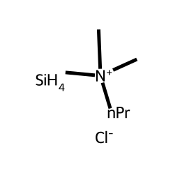 CCC[N+](C)(C)C.[Cl-].[SiH4]